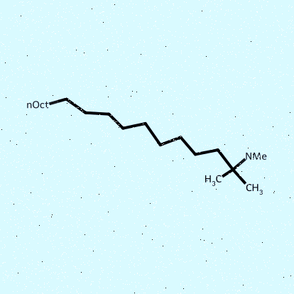 CCCCCCCCCCCCCCCCCC(C)(C)NC